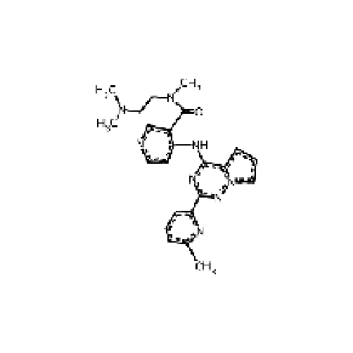 Cc1cccc(-c2nc(Nc3ccncc3C(=O)N(C)CCN(C)C)c3cccn3n2)n1